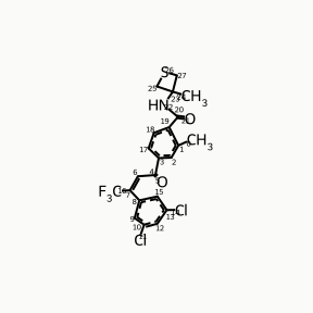 Cc1cc(C(=O)C=C(c2cc(Cl)cc(Cl)c2)C(F)(F)F)ccc1C(=O)NC1(C)CSC1